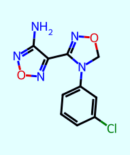 Nc1nonc1C1=NOCN1c1cccc(Cl)c1